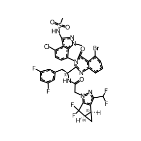 Cn1nc(NS(C)(=O)=O)c2c(Cl)ccc(-n3c([C@H](Cc4cc(F)cc(F)c4)NC(=O)Cn4nc(C(F)F)c5c4C(F)(F)[C@@H]4C[C@H]54)nc4cccc(Br)c4c3=O)c21